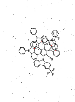 N#Cc1c(-n2c3ccccc3c3cc(C(F)(F)F)ccc32)c(-c2cccc3c2c2ccccc2n3-c2ccccc2)c(-c2cccc3c2c2ccccc2n3-c2ccccc2)c(-c2cccc3c2c2ccccc2n3-c2ccccc2)c1-n1c2ccccc2c2cc(C(F)(F)F)ccc21